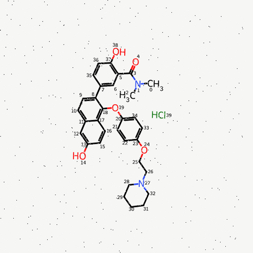 CN(C)C(=O)c1cc(-c2ccc3cc(O)ccc3c2Oc2ccc(OCCN3CCCCC3)cc2)ccc1O.Cl